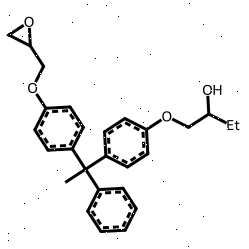 CCC(O)COc1ccc(C(C)(c2ccccc2)c2ccc(OCC3CO3)cc2)cc1